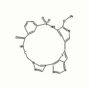 CC(C)Oc1ncc2cc1NS(=O)(=O)c1cccc(c1)C(=O)NCCn1cc(cn1)-c1ncnc3cc-2sc13